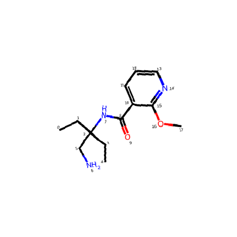 CCC(CC)(CN)NC(=O)c1cccnc1OC